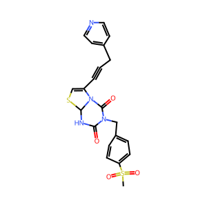 CS(=O)(=O)c1ccc(CN2C(=O)NC3SC=C(C#CCc4ccncc4)N3C2=O)cc1